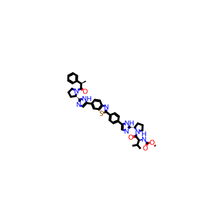 COC(=O)N[C@H](C(=O)N1CCC[C@H]1c1ncc(-c2ccc(-c3nc4ccc(-c5cnc([C@@H]6CCCN6C(=O)[C@H](C)c6ccccc6)[nH]5)cc4s3)cc2)[nH]1)C(C)C